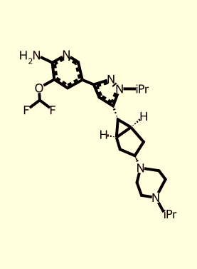 CC(C)N1CCN([C@@H]2C[C@@H]3[C@H](C2)[C@H]3c2cc(-c3cnc(N)c(OC(F)F)c3)nn2C(C)C)CC1